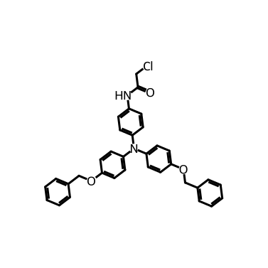 O=C(CCl)Nc1ccc(N(c2ccc(OCc3ccccc3)cc2)c2ccc(OCc3ccccc3)cc2)cc1